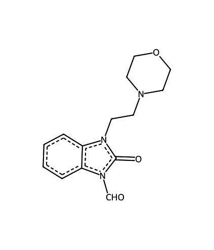 O=Cn1c(=O)n(CCN2CCOCC2)c2ccccc21